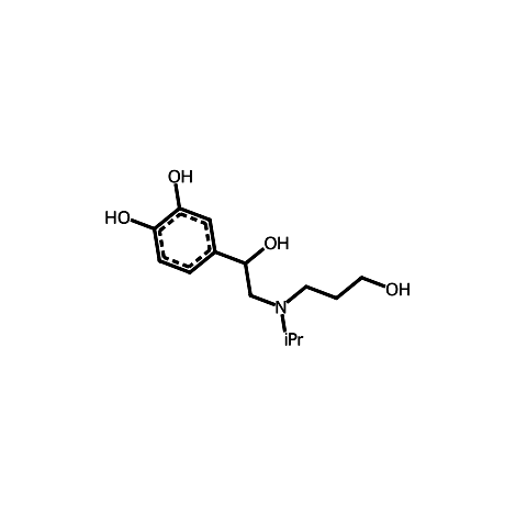 CC(C)N(CCCO)CC(O)c1ccc(O)c(O)c1